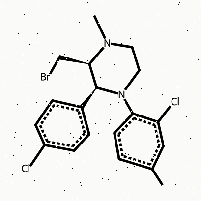 Cc1ccc(N2CCN(C)[C@H](CBr)[C@@H]2c2ccc(Cl)cc2)c(Cl)c1